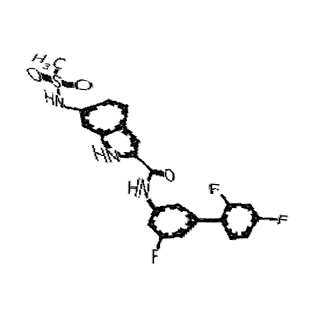 CS(=O)(=O)Nc1ccc2cc(C(=O)Nc3cc(F)cc(-c4ccc(F)cc4F)c3)[nH]c2c1